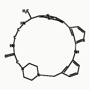 CC1NCCNC(=O)CN2CCN(CC2)Cc2cccc(c2)Nc2cc(ccn2)-c2cnc1nc2